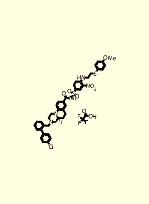 COc1ccc(SCCNc2ccc(S(=O)(=O)NC(=O)c3ccc4c(c3)CC[C@H]3CN(Cc5ccccc5-c5ccc(Cl)cc5)CCN43)cc2[N+](=O)[O-])cc1.O=C(O)C(F)(F)F